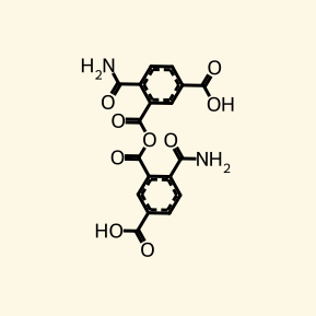 NC(=O)c1ccc(C(=O)O)cc1C(=O)OC(=O)c1cc(C(=O)O)ccc1C(N)=O